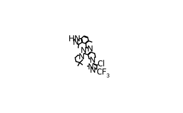 Cc1ccc2[nH]nc(C)c2c1-c1nc2c(c(N3CCCC(C)(C)C3)n1)CN(c1c(Cl)c(C(F)(F)F)nn1C)CC2